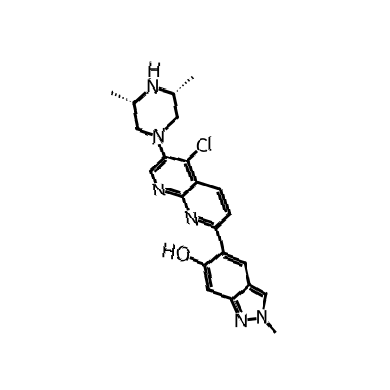 C[C@@H]1CN(c2cnc3nc(-c4cc5cn(C)nc5cc4O)ccc3c2Cl)C[C@H](C)N1